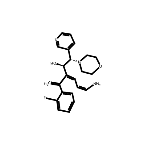 C=C(/C(=C\C=C/N)[C@@H](O)[C@H](c1cccnc1)N1CCOCC1)c1ccccc1F